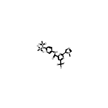 Cn1cncc1-c1nc(C(=O)Nc2ccc(N(S(C)(=O)=O)S(C)(=O)=O)nc2)cc(C(F)(F)F)n1